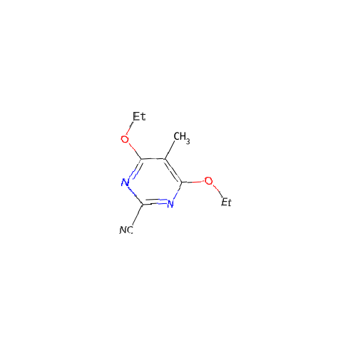 CCOc1nc(C#N)nc(OCC)c1C